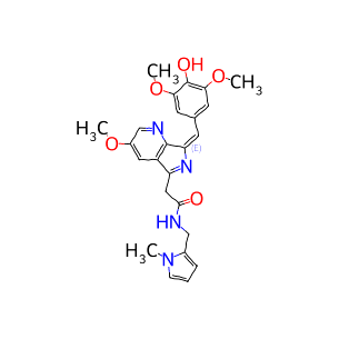 COc1cnc2c(c1)C(CC(=O)NCc1cccn1C)=N/C2=C/c1cc(OC)c(O)c(OC)c1